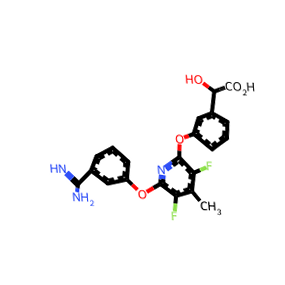 Cc1c(F)c(Oc2cccc(C(=N)N)c2)nc(Oc2cccc(C(O)C(=O)O)c2)c1F